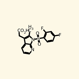 Cc1c(CC(=O)O)c2cccnc2n1S(=O)(=O)c1ccc(F)cc1F